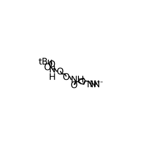 CC(C)(C)OC(=O)NCCOCCOCCNC(=O)c1ccc(CN=[N+]=[N-])cc1